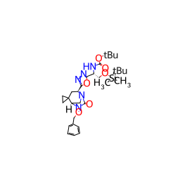 CC(C)(C)OC(=O)N[C@H](CO[Si](C)(C)C(C)(C)C)c1nnc([C@@H]2CC3(CC3)[C@H]3CN2C(=O)N3OCc2ccccc2)o1